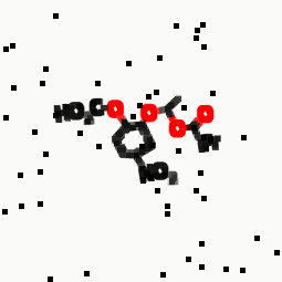 CC(OC(=O)C(C)C)Oc1cc([N+](=O)[O-])ccc1OC(=O)O